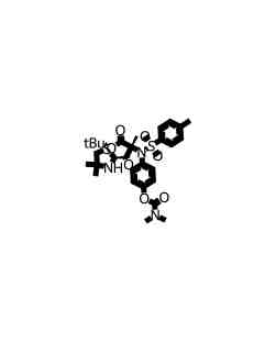 Cc1ccc(S(=O)(=O)N(c2ccc(OC(=O)N(C)C)cc2)[C@@](C)(C(=O)OC(C)(C)C)C(=O)[C@H]2NC(C)(C)CS2)cc1